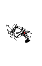 CO[C@]1(C)C[C@@H](C)CN(C)[C@H](C)[C@H]2NC(C)O[C@]2(C)COC(=O)C(C)C(=O)[C@H](C)[C@H]1O[C@@H]1O[C@H](CNCC2CC2)C[C@H](N(C)C)[C@H]1O